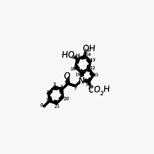 Cc1ccc(C(=O)Cn2c(C(=O)O)cc3cc(O)c(O)cc32)cc1